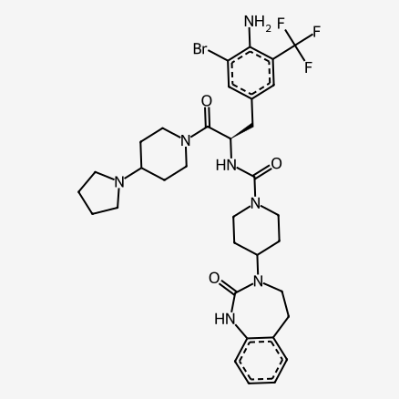 Nc1c(Br)cc(C[C@@H](NC(=O)N2CCC(N3CCc4ccccc4NC3=O)CC2)C(=O)N2CCC(N3CCCC3)CC2)cc1C(F)(F)F